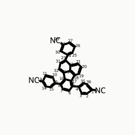 [C-]#[N+]c1ccc(-c2ccc(-c3ccc(C#N)cc3)c3c2-c2cccc4c(-c5cccc(C#N)c5)ccc-3c24)cc1